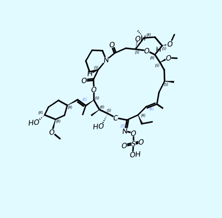 CC[C@@H]1/C=C(\C)C[C@H](C)C[C@H](OC)[C@H]2O[C@@](O)(CC(=O)N3CCCC[C@H]3C(=O)O[C@H](/C(C)=C/[C@@H]3CC[C@@H](O)[C@H](OC)C3)[C@H](C)[C@@H](O)C/C1=N/OS(=O)(=O)O)[C@H](C)C[C@@H]2OC